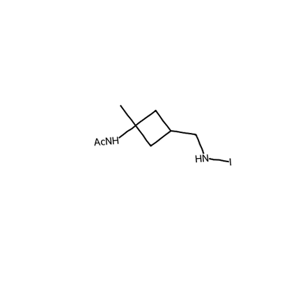 CC(=O)NC1(C)CC(CNI)C1